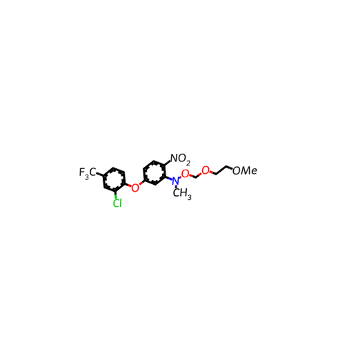 COCCOCON(C)c1cc(Oc2ccc(C(F)(F)F)cc2Cl)ccc1[N+](=O)[O-]